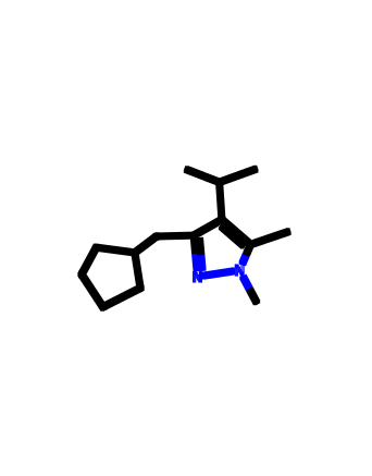 Cc1c(C(C)C)c(CC2CCCC2)nn1C